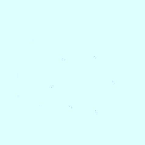 O=COC(OC=O)N1CCN(C(C(=O)O)C(=O)O)Cc2cccc(n2)-c2ccc3ccc4ccc(nc4c3n2)-c2cccc(n2)C1